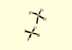 CC[N+](C)(CC)CC.F[B-](Cl)(Br)I